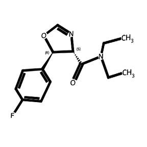 CCN(CC)C(=O)[C@H]1N=CO[C@@H]1c1ccc(F)cc1